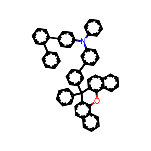 c1ccc(-c2ccccc2-c2ccc(N(c3ccccc3)c3cccc(-c4cccc(C5(c6ccccc6)c6ccc7ccccc7c6Oc6c5ccc5ccccc65)c4)c3)cc2)cc1